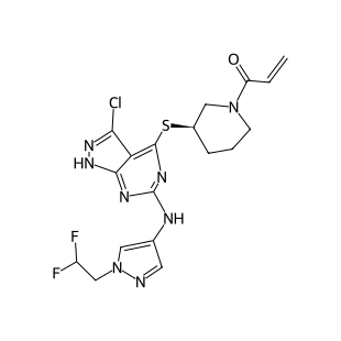 C=CC(=O)N1CCC[C@@H](Sc2nc(Nc3cnn(CC(F)F)c3)nc3[nH]nc(Cl)c23)C1